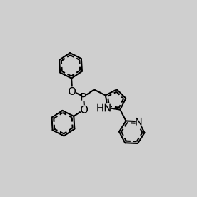 c1ccc(OP(Cc2ccc(-c3ccccn3)[nH]2)Oc2ccccc2)cc1